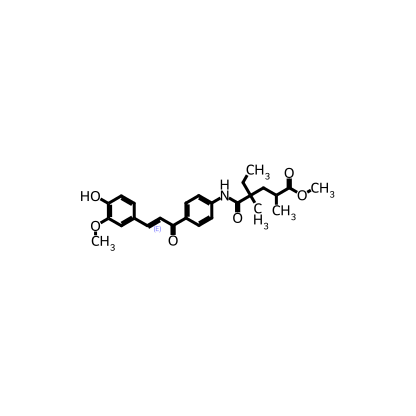 CCC(C)(CC(C)C(=O)OC)C(=O)Nc1ccc(C(=O)/C=C/c2ccc(O)c(OC)c2)cc1